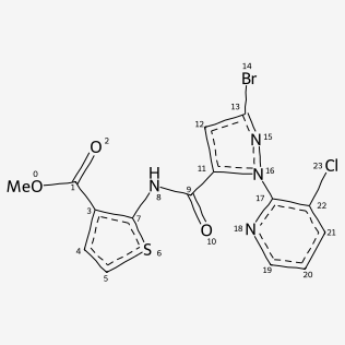 COC(=O)c1ccsc1NC(=O)c1cc(Br)nn1-c1ncccc1Cl